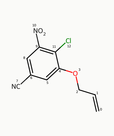 C=CCOc1cc(C#N)cc([N+](=O)[O-])c1Cl